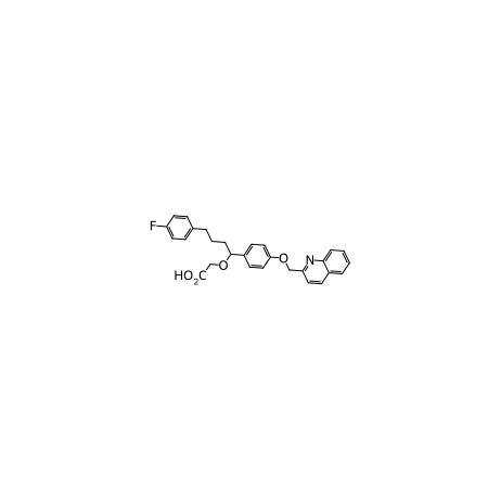 O=C(O)COC(CCCc1ccc(F)cc1)c1ccc(OCc2ccc3ccccc3n2)cc1